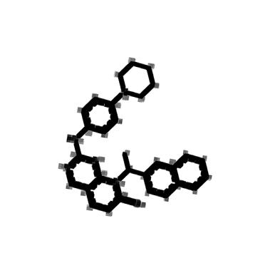 CC(c1ccc2ccccc2c1)n1c(=O)ccc2cnc(Nc3ccc(N4CCCCC4)cc3)nc21